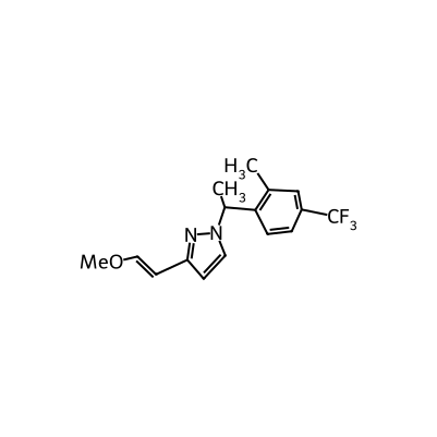 COC=Cc1ccn(C(C)c2ccc(C(F)(F)F)cc2C)n1